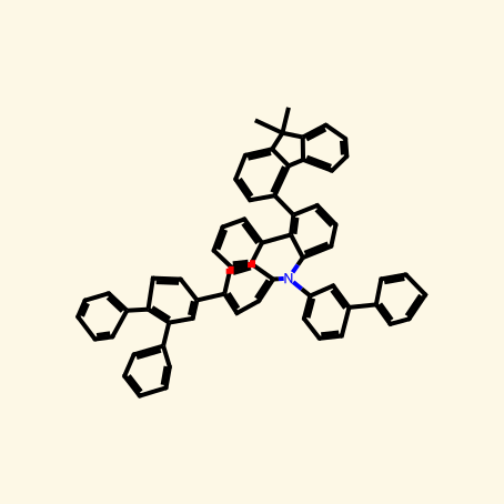 CC1(C)c2ccccc2-c2c(-c3cccc(N(c4ccc(-c5ccc(-c6ccccc6)c(-c6ccccc6)c5)cc4)c4cccc(-c5ccccc5)c4)c3-c3ccccc3)cccc21